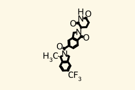 C[C@H]1c2ccc(C(F)(F)F)cc2CN1C(=O)c1ccc2c(c1)CN(C1CCC(=O)NC1=O)C2=O